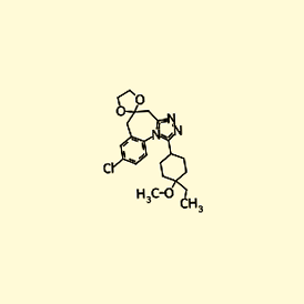 CCC1(OC)CCC(c2nnc3n2-c2ccc(Cl)cc2CC2(C3)OCCO2)CC1